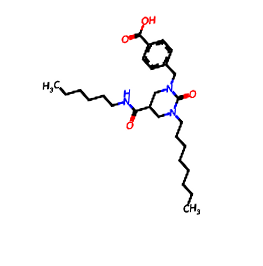 CCCCCCCCN1CC(C(=O)NCCCCCC)CN(Cc2ccc(C(=O)O)cc2)C1=O